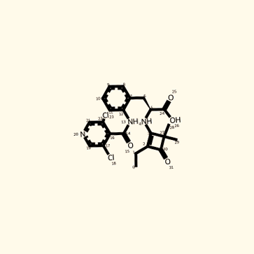 CCC1=C(N[C@@H](Cc2ccccc2NC(=O)c2c(Cl)cncc2Cl)C(=O)O)C(C)(C)C1=O